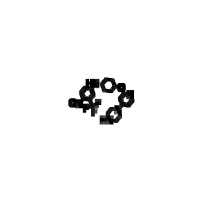 O=Nc1ccc(N[C@H]2CC[C@H](Oc3cc(N4CCNCC4)ccn3)CC2)cc1C(F)(F)F